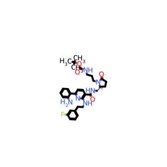 CC(C)(C)OC(=O)NCCCN1C(=O)CC[C@@H]1CNC(=O)c1ccc(-c2ccccc2N)nc1NCCc1cccc(F)c1